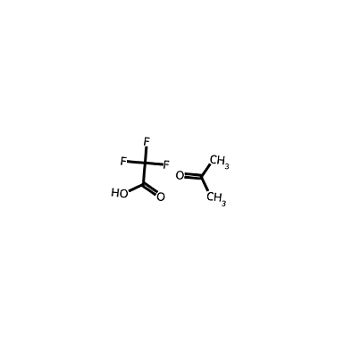 CC(C)=O.O=C(O)C(F)(F)F